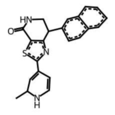 CC1C=C(c2nc3c(s2)C(=O)NCC3c2ccc3ccccc3c2)C=CN1